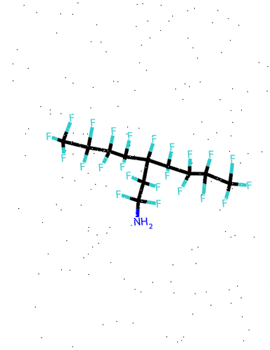 NC(F)(F)C(F)(F)C(F)(C(F)(F)C(F)(F)C(F)(F)C(F)(F)F)C(F)(F)C(F)(F)C(F)(F)C(F)(F)F